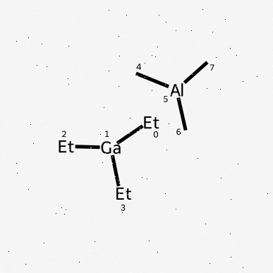 C[CH2][Ga]([CH2]C)[CH2]C.[CH3][Al]([CH3])[CH3]